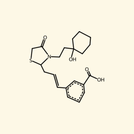 O=C(O)c1cccc(C=CCC2SCC(=O)N2CCC2(O)CCCCC2)c1